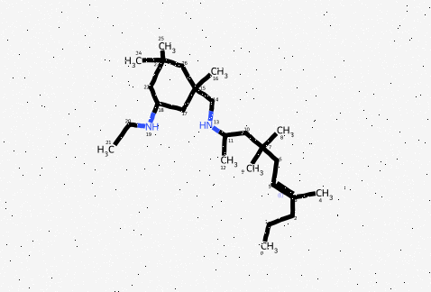 CCC/C(C)=C/CC(C)(C)CC(C)NCC1(C)CC(NCC)CC(C)(C)C1